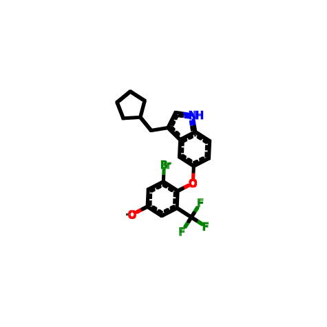 [O]c1cc(Br)c(Oc2ccc3[nH]cc(CC4CCCC4)c3c2)c(C(F)(F)F)c1